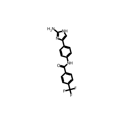 Nc1nc(-c2ccc(NC(=O)c3ccc(C(F)(F)F)cc3)cc2)c[nH]1